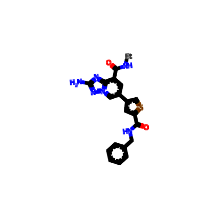 CCNC(=O)c1cc(-c2csc(C(=O)NCc3ccccc3)c2)cn2nc(N)nc12